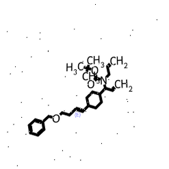 C=CCN(C(=O)OC(C)(C)C)C(C=C)C1CCC(/C=C/CCOCc2ccccc2)CC1